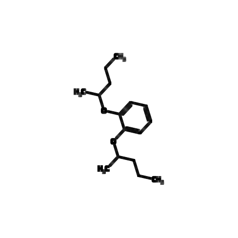 CCCC(C)Oc1ccccc1OC(C)CCC